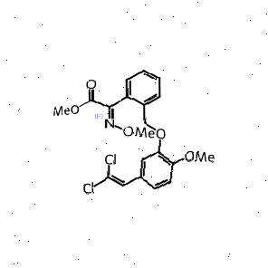 CO/N=C(/C(=O)OC)c1ccccc1COc1cc(C=C(Cl)Cl)ccc1OC